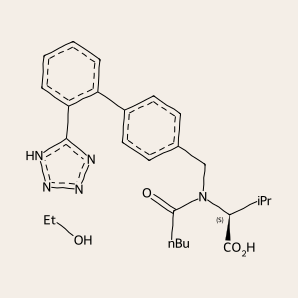 CCCCC(=O)N(Cc1ccc(-c2ccccc2-c2nnn[nH]2)cc1)[C@H](C(=O)O)C(C)C.CCO